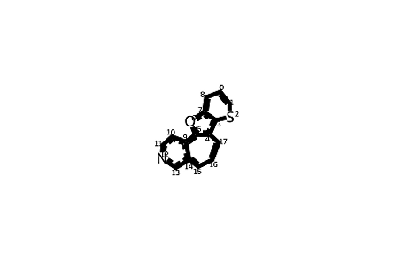 C1=CSc2c3c(oc2=C1)=c1ccncc1=CC=C3